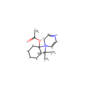 CC(=O)OC1([N+]2(C(C)(C)C)C=CN=CC2)CCCCC1